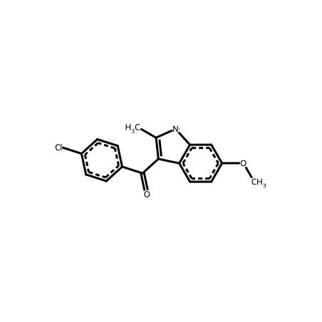 COc1ccc2c(c1)[N]C(C)=C2C(=O)c1ccc(Cl)cc1